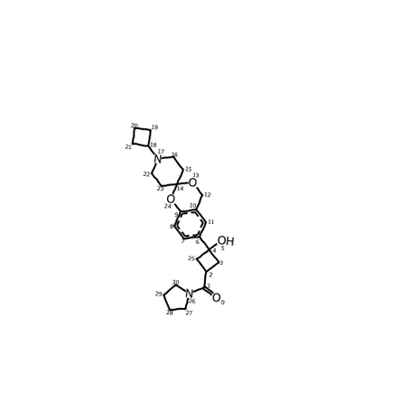 O=C(C1CC(O)(c2ccc3c(c2)COC2(CCN(C4CCC4)CC2)O3)C1)N1CCCC1